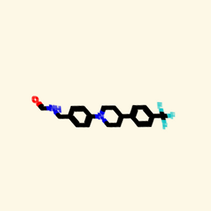 O=CNCc1ccc(N2CCC(c3ccc(C(F)(F)F)cc3)CC2)cc1